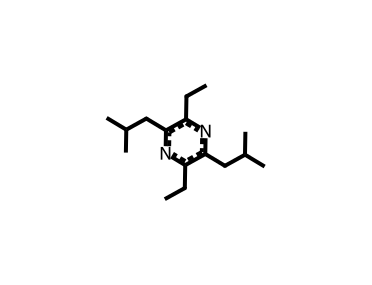 CCc1nc(CC(C)C)c(CC)nc1CC(C)C